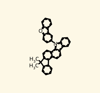 CC1(C)c2ccccc2-c2c1ccc1c2ccc2c3ccccc3n(-c3ccc4oc5ccccc5c4c3)c12